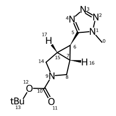 Cn1nnnc1[C@H]1[C@@H]2CN(C(=O)OC(C)(C)C)C[C@@H]21